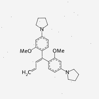 C=CC=C(c1ccc(N2CCCC2)cc1OC)c1ccc(N2CCCC2)cc1OC